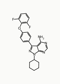 Nc1ncnc2c1c(-c1ccc(Oc3c(F)cccc3F)cc1)nn2C1CCCCC1